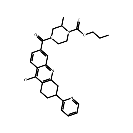 CCCOC(=O)N1CCN(C(=O)c2ccc3c(Cl)c4c(nc3c2)CC(c2ccccn2)CC4)CC1C